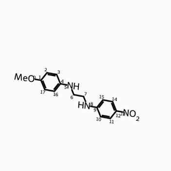 COc1ccc(NCCNc2ccc([N+](=O)[O-])cc2)cc1